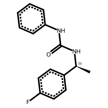 C[C@H](NC(=O)Nc1ccccc1)c1ccc(F)cc1